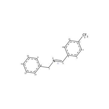 FC(F)(F)c1ccc(/C=N/Cc2ccccc2)cc1